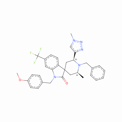 COc1ccc(CN2C(=O)C3(C[C@H](C)N(Cc4ccccc4)[C@H](c4cn(C)nn4)C3)c3ccc(C(F)(F)F)cc32)cc1